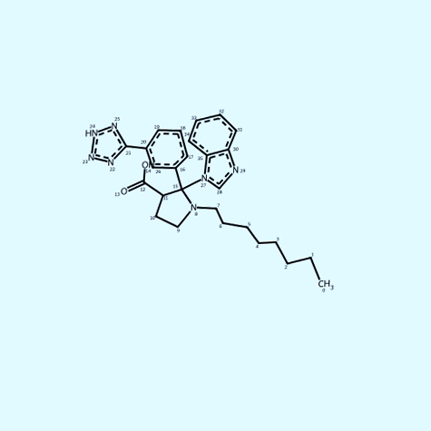 CCCCCCCCN1CCC(C(=O)O)C1(c1cccc(-c2nn[nH]n2)c1)n1cnc2ccccc21